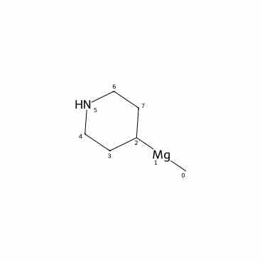 [CH3][Mg][CH]1CCNCC1